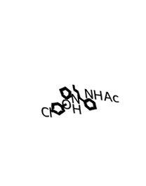 C/C=C/[C@@H](Nc1ccccc1Oc1ccc(Cl)cc1)c1ccccc1NC(C)=O